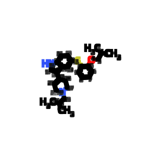 CC(C)COc1ccccc1Sc1ccc2[nH]cc(C3=CCN(CC(C)C)CC3)c2c1